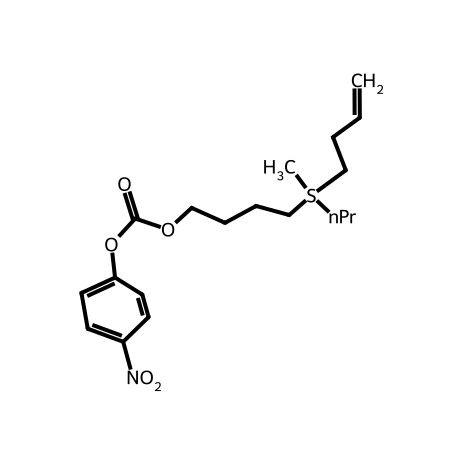 C=CCCS(C)(CCC)CCCCOC(=O)Oc1ccc([N+](=O)[O-])cc1